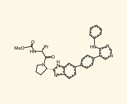 COC(=O)N[C@H](C(=O)N1CCC[C@H]1c1nc2ccc(-c3ccc(-c4cncnc4Nc4ccccc4)cc3)cc2[nH]1)C(C)C